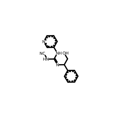 N#CNC(=NC(CO)c1ccccc1)Nc1cccnc1